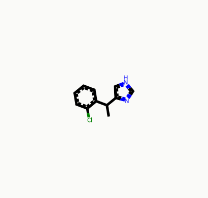 CC(c1c[nH]cn1)c1ccccc1Cl